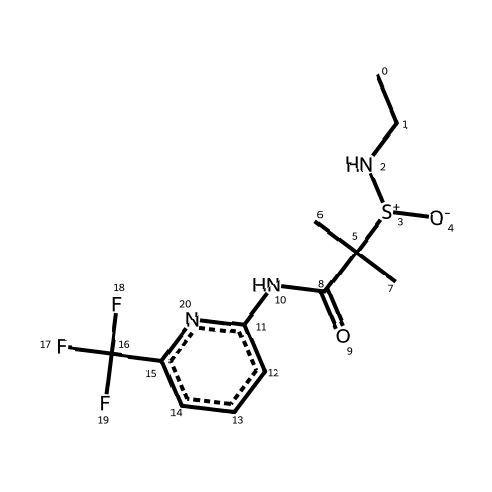 CCN[S+]([O-])C(C)(C)C(=O)Nc1cccc(C(F)(F)F)n1